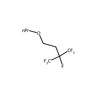 CCCOCCC(F)(C(F)(F)F)C(F)(F)F